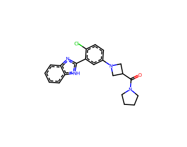 O=C(C1CN(c2ccc(Cl)c(-c3nc4ccccc4[nH]3)c2)C1)N1CCCC1